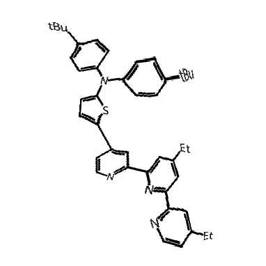 CCc1ccnc(-c2cc(CC)cc(-c3cc(-c4ccc(N(c5ccc(C(C)(C)C)cc5)c5ccc(C(C)(C)C)cc5)s4)ccn3)n2)c1